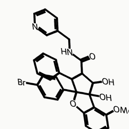 COc1cncc2c1C1(O)C(O)C(C(=O)NCc3cccnc3)C(c3ccccc3)C1(c1ccc(Br)cc1)O2